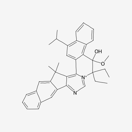 CCC1(CC)[n+]2cnc3c(c2-c2cc(C(C)C)c4ccccc4c2C1(O)OC)C(C)(C)c1cc2ccccc2cc1-3